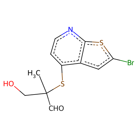 CC(C=O)(CO)Sc1ccnc2sc(Br)cc12